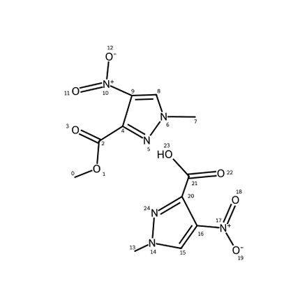 COC(=O)c1nn(C)cc1[N+](=O)[O-].Cn1cc([N+](=O)[O-])c(C(=O)O)n1